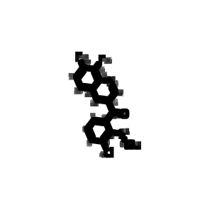 CC(C)(C)Sc1c(Cl)cccc1C(=O)c1cnc2c(F)c(F)ccc2c1